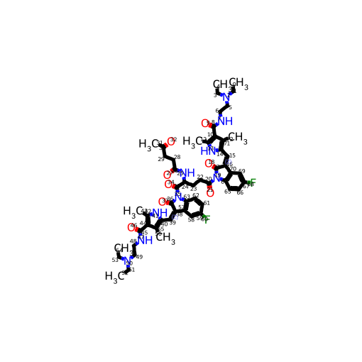 CCN(CC)CCNC(=O)c1c(C)[nH]c(/C=C2\C(=O)N(C(=O)CCC(NC(=O)CCC(C)=O)C(=O)N3C(=O)/C(=C\c4[nH]c(C)c(C(=O)NCCN(CC)CC)c4C)c4cc(F)ccc43)c3ccc(F)cc32)c1C